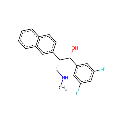 CNC[C@H](c1ccc2ccccc2c1)[C@H](O)c1cc(F)cc(F)c1